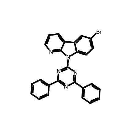 Brc1ccc2c(c1)c1cccnc1n2-c1nc(-c2ccccc2)nc(-c2ccccc2)n1